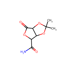 CC1(C)OC2C(=O)OC(C(N)=O)C2O1